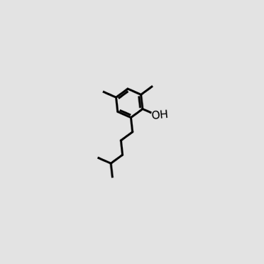 Cc1cc(C)c(O)c(CCCC(C)C)c1